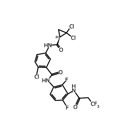 O=C(CC(F)(F)F)Nc1c(F)ccc(NC(=O)c2cc(NC(=O)[C@H]3CC3(Cl)Cl)ccc2Cl)c1F